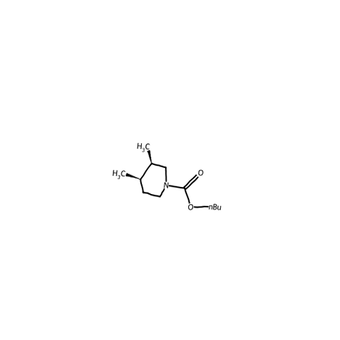 CCCCOC(=O)N1CC[C@@H](C)[C@@H](C)C1